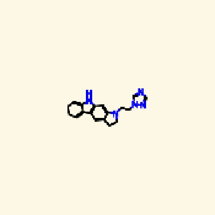 C1=c2[nH]c3cc4c(cc3c2=CCC1)CCN4CCn1cncn1